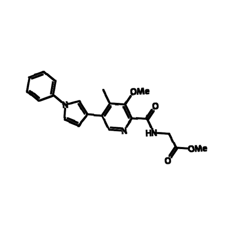 COC(=O)CNC(=O)c1ncc(-c2ccn(-c3ccccc3)c2)c(C)c1OC